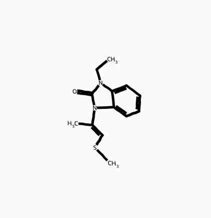 CCn1c(=O)n(C(C)=CSC)c2ccccc21